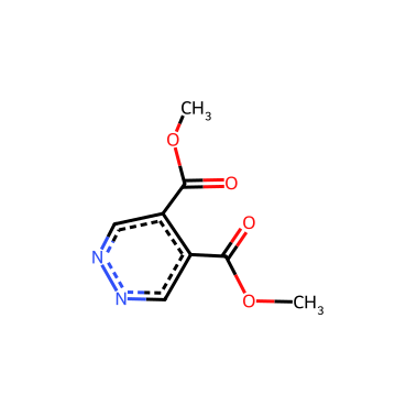 COC(=O)c1cnncc1C(=O)OC